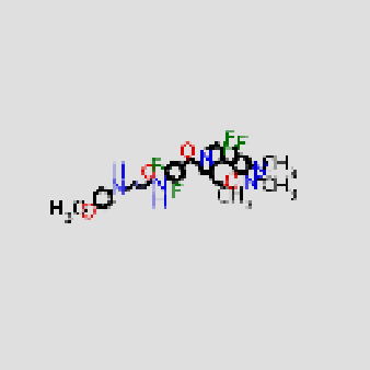 CO[C@H]1CC[C@H](NC/C=C/C(=O)Nc2c(F)cc(C(=O)c3cc4c5c(cccn35)-c3c(C(F)(F)F)cc5c(nc(C)n5C)c3OC(C)C4)cc2F)CC1